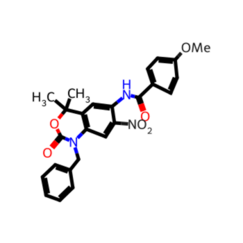 COc1ccc(C(=O)Nc2cc3c(cc2[N+](=O)[O-])N(Cc2ccccc2)C(=O)OC3(C)C)cc1